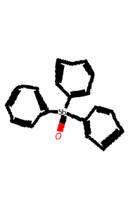 [O]=[Sb]([c]1ccccc1)([c]1ccccc1)[c]1ccccc1